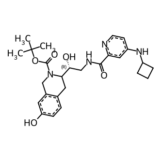 CC(C)(C)OC(=O)N1Cc2cc(O)ccc2CC1[C@H](O)CNC(=O)c1cc(NC2CCC2)ccn1